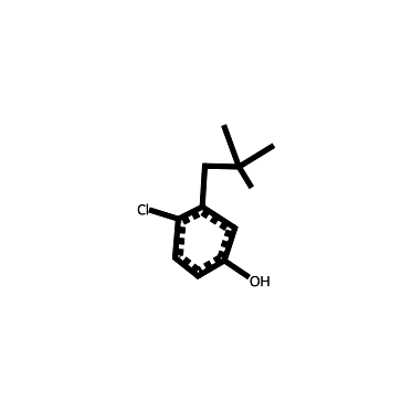 CC(C)(C)Cc1cc(O)ccc1Cl